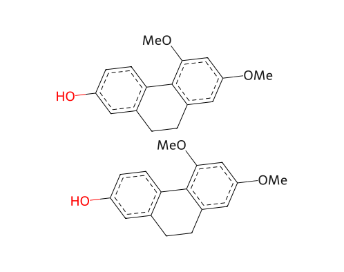 COc1cc2c(c(OC)c1)-c1ccc(O)cc1CC2.COc1cc2c(c(OC)c1)-c1ccc(O)cc1CC2